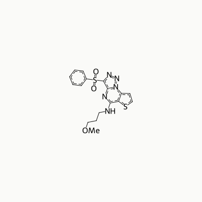 COCCCNc1nc2c(S(=O)(=O)c3ccccc3)nnn2c2ccsc12